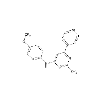 Cc1nc(Nc2ccc(OC(F)(F)F)cc2)cc(-c2ccncc2)n1